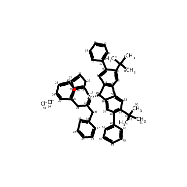 CC(C)(C)c1cc2c(cc1-c1ccccc1)[CH]([Zr+2]([C]1=CC=CC1)=[C](Cc1ccccc1)Cc1ccccc1)c1cc(-c3ccccc3)c(C(C)(C)C)cc1-2.[Cl-].[Cl-]